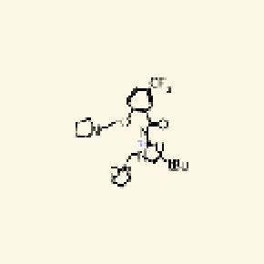 CC(C)(C)c1cn(C[C@H]2CCCO2)/c(=N/C(=O)c2cc(C(F)(F)F)ccc2OCCN2CCCC2)o1